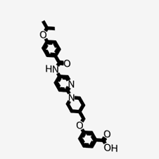 CC(C)Oc1ccc(C(=O)Nc2ccc(N3CCC(COc4cccc(C(=O)O)c4)CC3)nc2)cc1